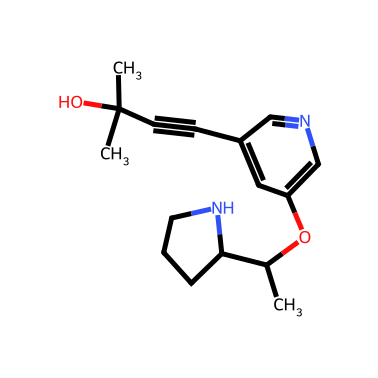 CC(Oc1cncc(C#CC(C)(C)O)c1)C1CCCN1